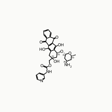 C[C@H]1C[C@@H](N)C[C@H](O[C@H]2C[C@](O)(COC(=O)Nc3cccnc3)Cc3c(O)c4c(c(O)c32)C(=O)c2ccccc2C4=O)O1